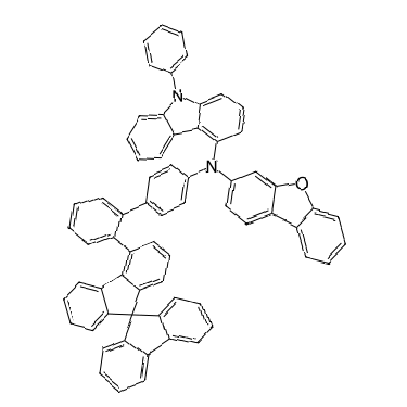 c1ccc(-n2c3ccccc3c3c(N(c4ccc(-c5ccccc5-c5cccc6c5-c5ccccc5C65c6ccccc6-c6ccccc65)cc4)c4ccc5c(c4)oc4ccccc45)cccc32)cc1